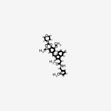 COc1cc(/C=C2/C(C)=C(CC(=O)NCc3cccn3C)c3cc(F)ccc32)cc(OC)c1OC(=O)N1CCOCC1